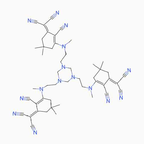 CN(CCN1CN(CCN(C)C2=C(C#N)C(=C(C#N)C#N)CC(C)(C)C2)CN(CCN(C)C2=C(C#N)C(=C(C#N)C#N)CC(C)(C)C2)C1)C1=C(C#N)C(=C(C#N)C#N)CC(C)(C)C1